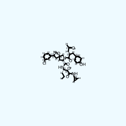 CCC[C@H](NC(=O)[C@@H]1CC2(CC(c3cccc(Cl)c3)=NO2)CN1C(=O)[C@@H](CC(C)=O)Cc1ccc(O)cc1)C(=O)C(=O)NC1CC1